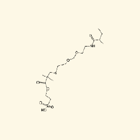 CCC(C)C(=O)NCCOCOCCSCC(C)(C)C(=O)OCCS(=O)(=O)O